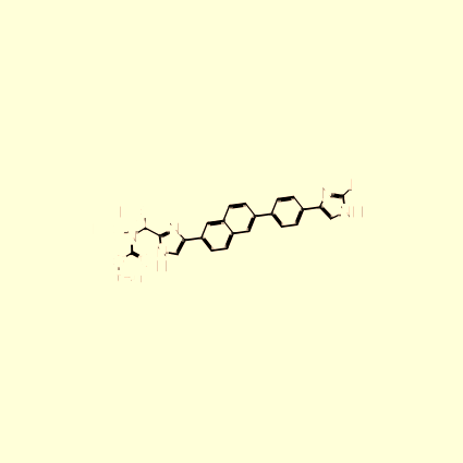 C[CH]c1nc(-c2ccc(-c3ccc4cc(-c5c[nH]c([C@H](C)N(C)C(=O)OC(C)(C)C)n5)ccc4c3)cc2)c[nH]1